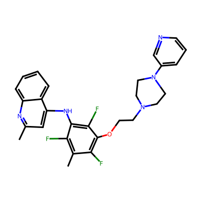 Cc1cc(Nc2c(F)c(C)c(F)c(OCCN3CCN(c4cccnc4)CC3)c2F)c2ccccc2n1